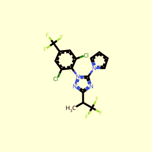 CC(c1nc(-n2cccc2)n(-c2c(Cl)cc(C(F)(F)F)cc2Cl)n1)C(F)(F)F